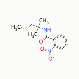 CSCC(C)(C)NC(=O)c1ccccc1[N+](=O)[O-]